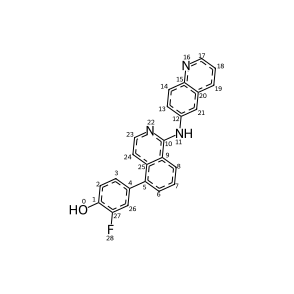 Oc1ccc(-c2cccc3c(Nc4ccc5ncccc5c4)nccc23)cc1F